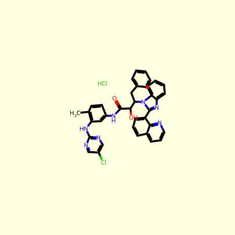 Cc1ccc(NC(=O)C(O)C(Cc2ccccc2)n2c(-c3cccc4cccnc34)nc3ccccc32)cc1Nc1ncc(Cl)cn1.Cl